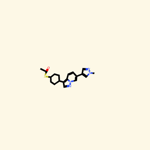 CC(=O)SC1CCC(c2cnn3cc(-c4cnn(C)c4)ccc23)CC1